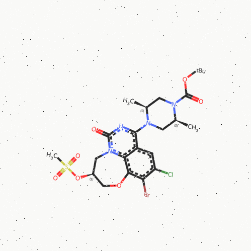 C[C@H]1CN(c2nc(=O)n3c4c(c(Br)c(Cl)cc24)OC[C@@H](OS(C)(=O)=O)C3)[C@@H](C)CN1C(=O)OC(C)(C)C